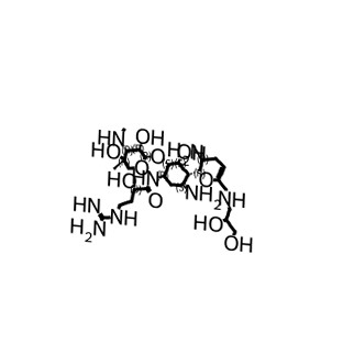 CN[C@@H]1[C@@H](O)[C@@H](O[C@H]2[C@H](NC(=O)[C@@H](O)CCNC(=N)N)C[C@H](N)C([C@H]3OC(CNCC(O)CO)=CC[C@H]3N)[C@@H]2O)OC[C@]1(C)O